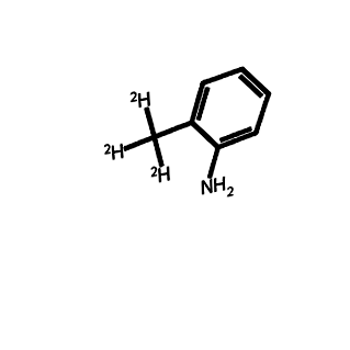 [2H]C([2H])([2H])c1ccccc1N